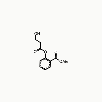 COC(=O)c1ccccc1OC(=O)CCO